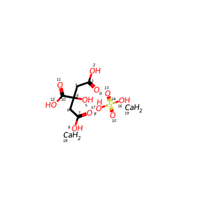 O=C(O)CC(O)(CC(=O)O)C(=O)O.O=S(=O)(O)O.[CaH2].[CaH2]